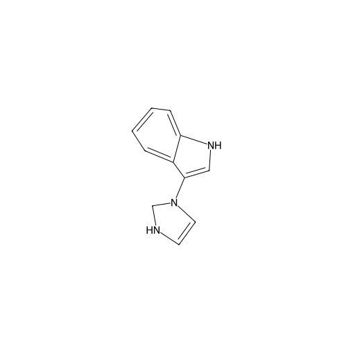 C1=CN(c2c[nH]c3ccccc23)CN1